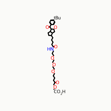 CC(C)(C)c1ccc(C(=O)C2C(=O)CC3C(CCCCC(=O)NCCCOCCOCCOCCCCC(=O)COCC(=O)O)CCC23)cc1